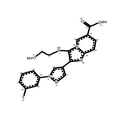 COCCNc1c(-c2cnn(-c3cccc(F)c3)c2)nc2ccc(C(=O)OC)cn12